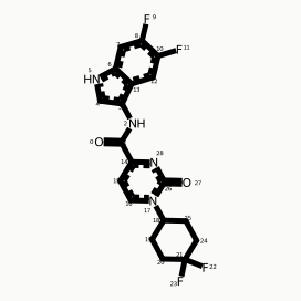 O=C(Nc1c[nH]c2cc(F)c(F)cc12)c1ccn(C2CCC(F)(F)CC2)c(=O)n1